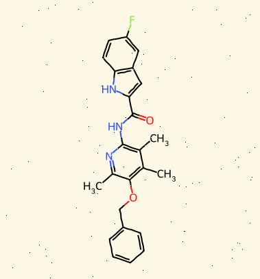 Cc1nc(NC(=O)c2cc3cc(F)ccc3[nH]2)c(C)c(C)c1OCc1ccccc1